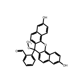 COC1(c2ccccc2C=O)c2ccc3cc(O)ccc3c2Oc2c1ccc1cc(O)ccc21